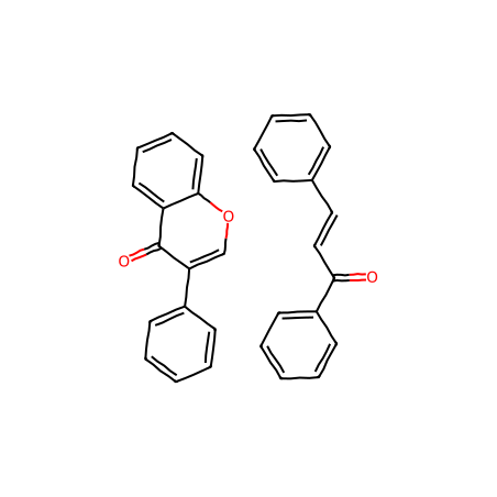 O=C(C=Cc1ccccc1)c1ccccc1.O=c1c(-c2ccccc2)coc2ccccc12